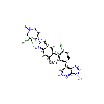 CCn1cnc2c(-c3ccc(F)c(-c4cc5cn([C@@H]6CCN(C)CC6(F)F)nc5cc4OC)c3)cnnc21